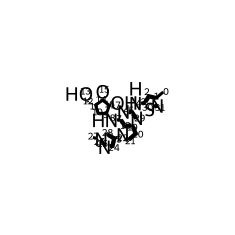 Cc1cc(Nc2nc(N[C@@H]3C[C@H](CO)C(=O)[C@H]3O)c3c(ccn3-c3cnn(C)c3)n2)sn1